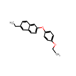 C[CH]c1ccc2cc(Oc3ccc(OCC)cc3)ccc2c1